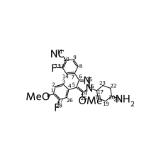 COc1ccc(-c2c(-c3ccc(C#N)c(F)c3)nn(C3CCC(N)CC3)c2OC)cc1F